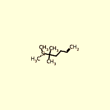 C=CCCC(C)(C)[Si](C)C